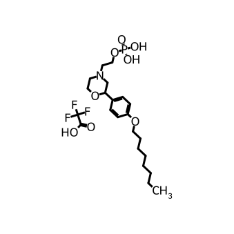 CCCCCCCCOc1ccc(C2CN(CCOP(=O)(O)O)CCO2)cc1.O=C(O)C(F)(F)F